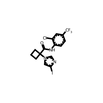 O=C(Nc1ccc(C(F)(F)F)cc1Cl)C1(n2cnc(I)c2)CCC1